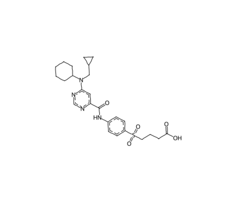 O=C(O)CCCS(=O)(=O)c1ccc(NC(=O)c2cc(N(CC3CC3)C3CCCCC3)ncn2)cc1